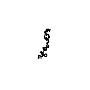 CC(C)CN1CCN(CCO[C@H]2C[C@H](N(C)C(=O)C(C)C)C2)CC1